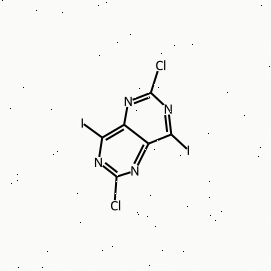 Clc1nc(I)c2nc(Cl)nc(I)c2n1